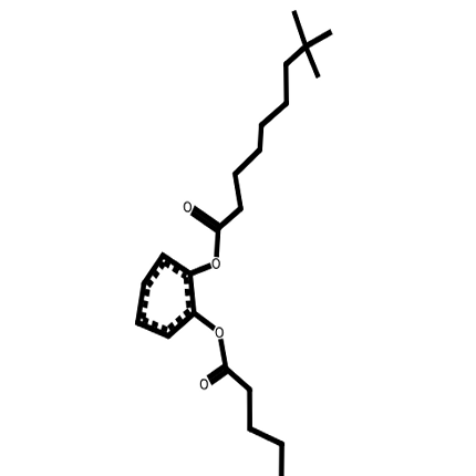 CCCCC(=O)Oc1ccccc1OC(=O)CCCCCCC(C)(C)C